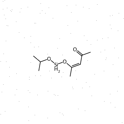 CC(=O)/C=C(/C)O[SiH2]OC(C)C